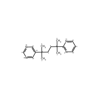 CC(C)(CCC(C)(C)c1ncccn1)c1cncnc1